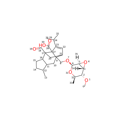 CO[C@H]1[C@H]2O[C@@H]2[C@H](OCC23CC4C(C)CCC4C4(C=O)CC2C=C(C(C)C)C43C(=O)O)O[C@@H]1C